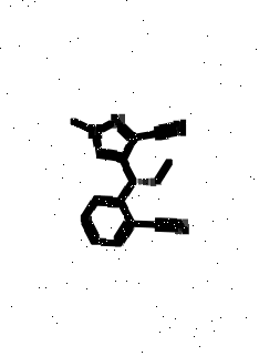 CC[C@H](c1ccccc1C#N)c1cn(C)nc1C#N